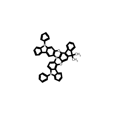 CC1(C)c2ccccc2-c2c1cc1c3c2Oc2cc4c(cc2B3c2ccc3c(c2O1)c1ccccc1n3-c1ccccc1)c1ccccc1n4-c1ccccc1